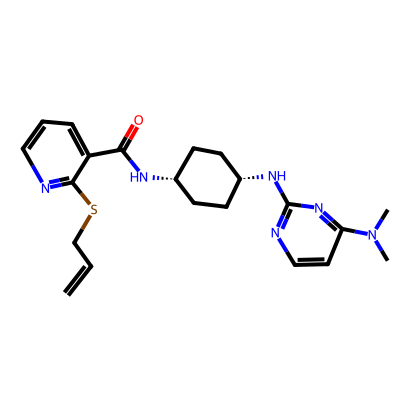 C=CCSc1ncccc1C(=O)N[C@H]1CC[C@@H](Nc2nccc(N(C)C)n2)CC1